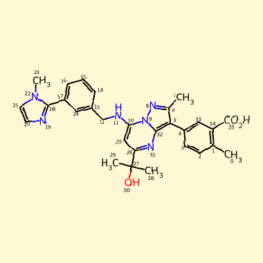 Cc1ccc(-c2c(C)nn3c(NCc4cccc(-c5nccn5C)c4)cc(C(C)(C)O)nc23)cc1C(=O)O